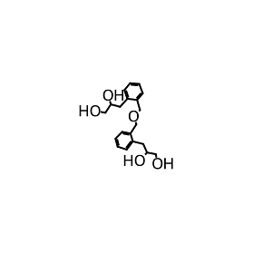 OCC(O)Cc1ccccc1COCc1ccccc1CC(O)CO